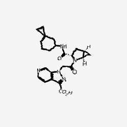 O=C(O)c1nn(CC(=O)N2[C@@H]3C[C@@H]3C[C@H]2C(=O)NC2CCCC3(CC3)C2)c2cnccc12